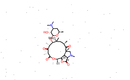 CC[C@H]1OC(=O)[C@H](C)C(=O)[C@H](C)[C@@H](O[C@@H]2O[C@H](C)C[C@H](N(C)C)[C@H]2O)[C@@](C)(OC)C[C@@H](C)C(=O)[C@]2(C)CN(C)[C@H]3C(=O)O[C@@]1(C)[C@H]32